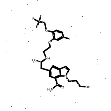 C[C@H](Cc1cc(C(N)=O)c2c(ccn2CCCO)c1)NCCOc1cc(F)ccc1OCC(F)(F)F